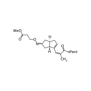 CCCCCC(=O)/C(C)=C\C1=CC[C@@H]2C/C(=N\OCCC(=O)OC)C[C@@H]12